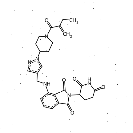 C=C(CC)C(=O)N1CCC(n2cc(CNc3cccc4c3C(=O)N(C3CCC(=O)NC3=O)C4=O)cn2)CC1